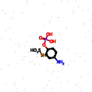 Nc1ccc(OP(=O)(O)O)cc1.O=S(=O)(O)S